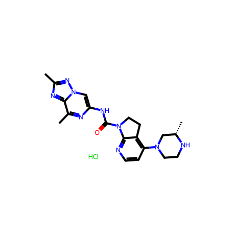 Cc1nc2c(C)nc(NC(=O)N3CCc4c(N5CCN[C@@H](C)C5)ccnc43)cn2n1.Cl